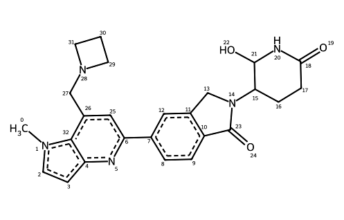 Cn1ccc2nc(-c3ccc4c(c3)CN(C3CCC(=O)NC3O)C4=O)cc(CN3CCC3)c21